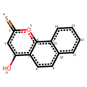 Oc1cc(=S)oc2c1ccc1ccccc12